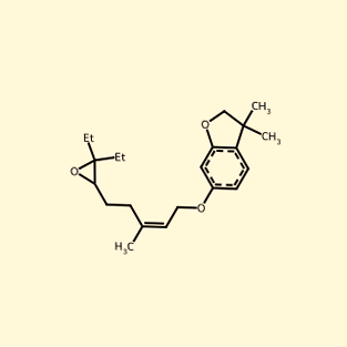 CCC1(CC)OC1CCC(C)=CCOc1ccc2c(c1)OCC2(C)C